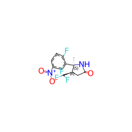 C[C@]1(c2cc([N+](=O)[O-])ccc2F)NC(=O)C[C@H]1C(F)(F)F